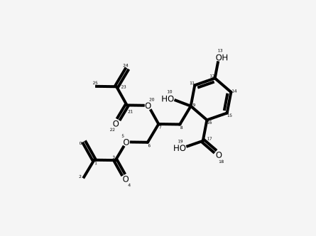 C=C(C)C(=O)OCC(CC1(O)C=C(O)C=CC1C(=O)O)OC(=O)C(=C)C